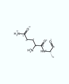 C[C@@H](C=O)NC(=O)C(N)CCC(N)=O